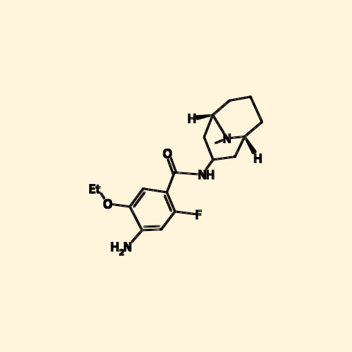 CCOc1cc(C(=O)NC2C[C@H]3CCC[C@@H](C2)N3C)c(F)cc1N